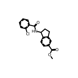 COC(=O)c1ccc2c(c1)CCC2NC(=O)c1ccccc1Cl